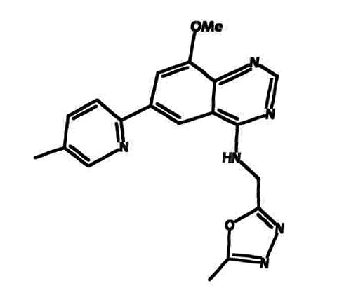 COc1cc(-c2ccc(C)cn2)cc2c(NCc3nnc(C)o3)ncnc12